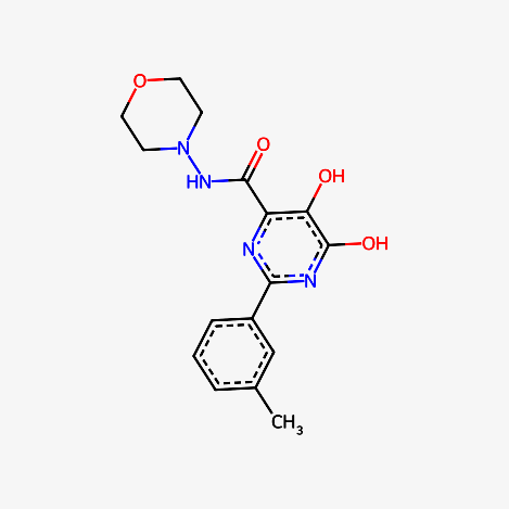 Cc1cccc(-c2nc(O)c(O)c(C(=O)NN3CCOCC3)n2)c1